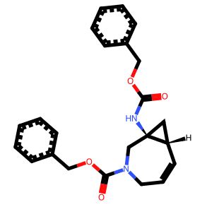 O=C(N[C@@]12C[C@@H]1C=CCN(C(=O)OCc1ccccc1)C2)OCc1ccccc1